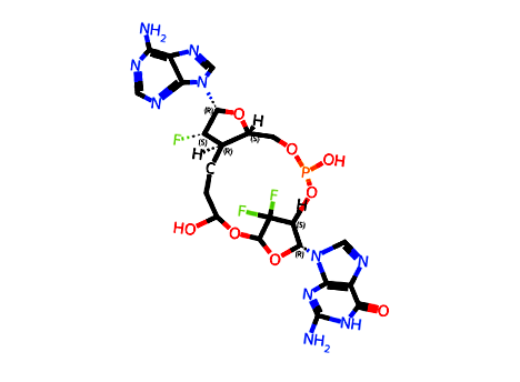 Nc1nc2c(ncn2[C@@H]2OC3OC(O)CC[C@H]4[C@H](F)[C@H](n5cnc6c(N)ncnc65)O[C@@H]4COP(O)O[C@@H]2C3(F)F)c(=O)[nH]1